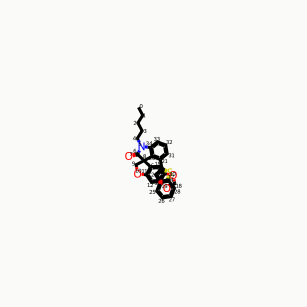 CCCCCN1C(=O)C2(COc3cc4c(cc32)OCO4)c2c(-c3cc4ccccc4s3)cccc21